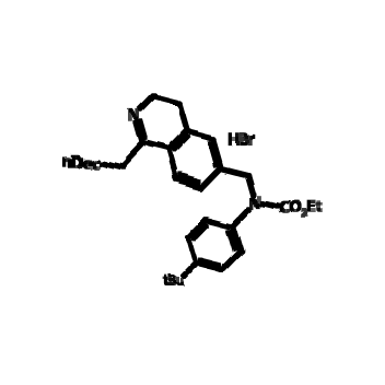 Br.CCCCCCCCCCCC1=NCCc2cc(CN(C(=O)OCC)c3ccc(C(C)(C)C)cc3)ccc21